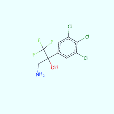 NCC(O)(c1cc(Cl)c(Cl)c(Cl)c1)C(F)(F)F